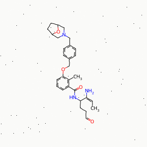 C/C=C(/N)C(CCC=O)NC(=O)c1cccc(OCc2ccc(CN3CC4CCC(C3)O4)cc2)c1C